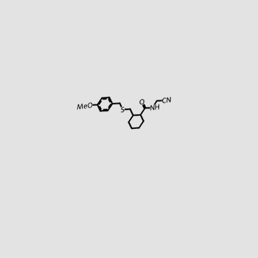 COc1ccc(CSCC2CCCCC2C(=O)NCC#N)cc1